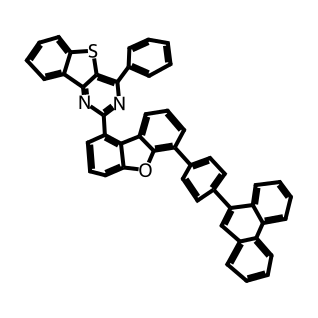 c1ccc(-c2nc(-c3cccc4oc5c(-c6ccc(-c7cc8ccccc8c8ccccc78)cc6)cccc5c34)nc3c2sc2ccccc23)cc1